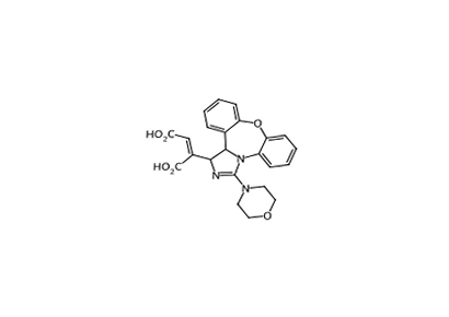 O=C(O)C=C(C(=O)O)C1N=C(N2CCOCC2)N2c3ccccc3Oc3ccccc3C12